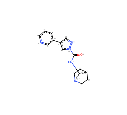 O=C(NC1CC2CCN(CC2)C1)n1cc(-c2cccnc2)cn1